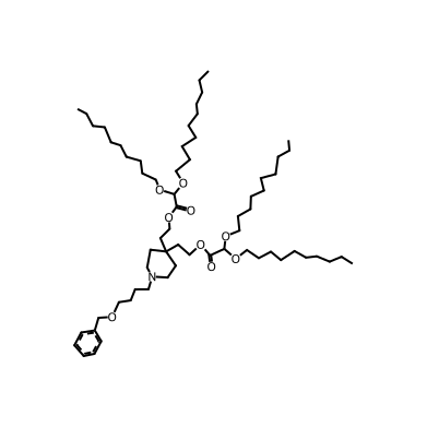 CCCCCCCCCCOC(OCCCCCCCCCC)C(=O)OCCC1(CCOC(=O)C(OCCCCCCCCCC)OCCCCCCCCCC)CCN(CCCCOCc2ccccc2)CC1